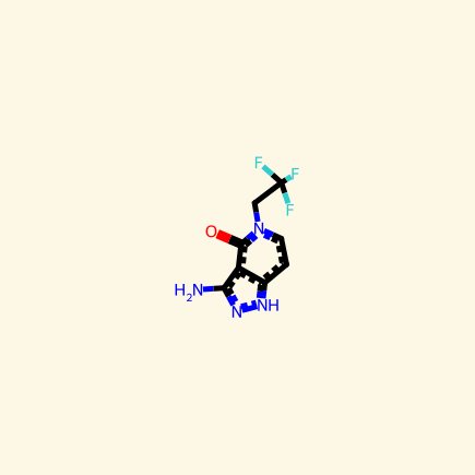 Nc1n[nH]c2ccn(CC(F)(F)F)c(=O)c12